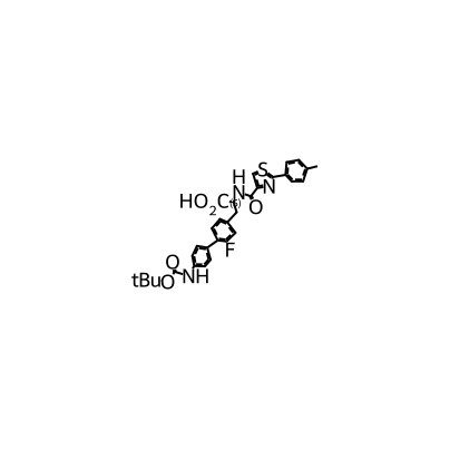 Cc1ccc(-c2nc(C(=O)N[C@@H](Cc3ccc(-c4ccc(NC(=O)OC(C)(C)C)cc4)c(F)c3)C(=O)O)cs2)cc1